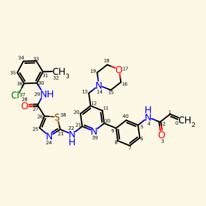 C=CC(=O)Nc1cccc(-c2cc(CN3CCOCC3)cc(Nc3ncc(C(=O)Nc4c(C)cccc4Cl)s3)n2)c1